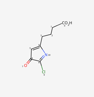 O=C(O)CCCC1=CC(=O)C(Cl)=N1